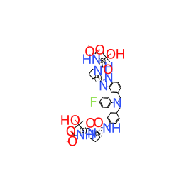 COC(=O)N[C@H](C(=O)N1CCC[C@H]1C(=O)Nc1ccc(CN(Cc2ccc3[nH]c([C@@H]4CCCN4C(=O)[C@@H](NC(=O)OC)C(C)(C)O)nc3c2)c2ccc(F)cc2)cc1)C(C)(C)O